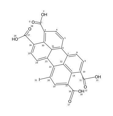 O=C(O)c1ccc2c3ccc(C(=O)O)c4c(C(=O)O)cc(I)c(c5ccc(C(=O)O)c1c25)c43